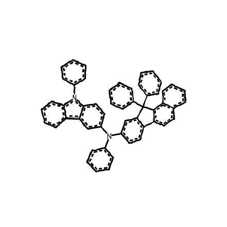 c1ccc(N(c2ccc3c(c2)C(c2ccccc2)(c2ccccc2)c2c-3ccc3ccccc23)c2ccc3c(c2)c2ccccc2n3-c2ccccc2)cc1